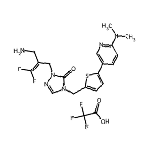 CN(C)c1ccc(-c2ccc(Cn3cnn(CC(CN)=C(F)F)c3=O)s2)cn1.O=C(O)C(F)(F)F